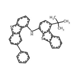 CC(C)(C)c1ccc(Nc2cccc3sc4ccc(-c5ccccc5)cc4c23)c2sc3ccccc3c12